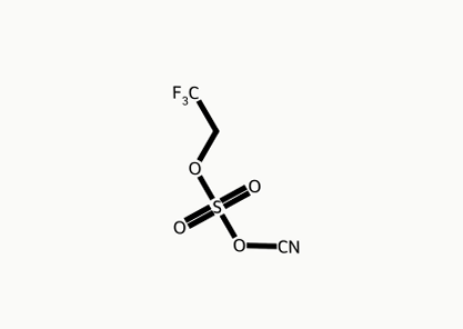 N#COS(=O)(=O)OCC(F)(F)F